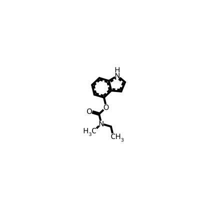 CCN(C)C(=O)Oc1cccc2[nH]ccc12